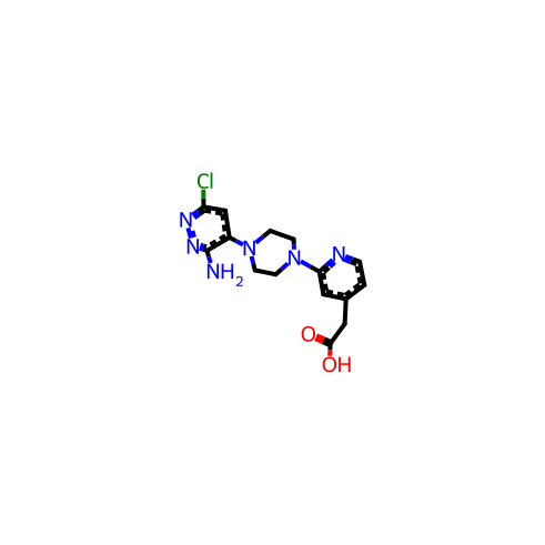 Nc1nnc(Cl)cc1N1CCN(c2cc(CC(=O)O)ccn2)CC1